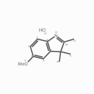 COc1ccc2c(c1)C(C)(C)C(C)=N2.Cl